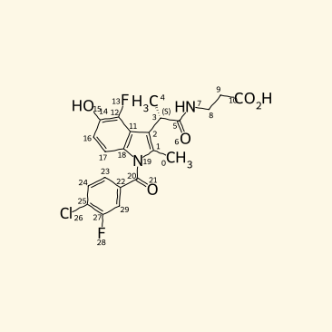 Cc1c([C@H](C)C(=O)NCCC(=O)O)c2c(F)c(O)ccc2n1C(=O)c1ccc(Cl)c(F)c1